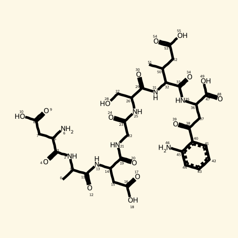 CC(NC(=O)C(N)CC(=O)O)C(=O)NC(CC(=O)O)C(=O)NCC(=O)NC(CO)C(=O)NC(C(=O)NC(CC(=O)c1ccccc1N)C(=O)O)C(C)CC(=O)O